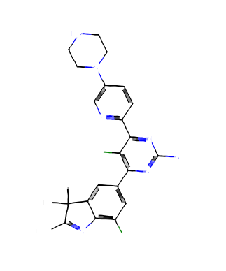 CCC1(C)C(C)=Nc2c(F)cc(-c3nc(N)nc(-c4ccc(N5CCNCC5)cn4)c3F)cc21